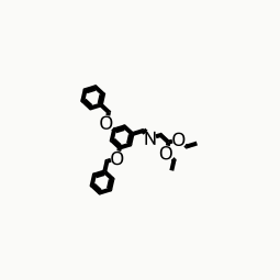 CCOC(C/N=C/c1cc(OCc2ccccc2)cc(OCc2ccccc2)c1)OCC